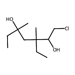 CCC(C)(O)CC(C)(CC)C(O)CCl